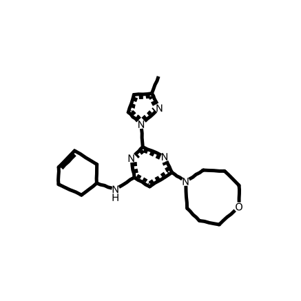 Cc1ccn(-c2nc(NC3CC=CCC3)cc(N3CCCOCCC3)n2)n1